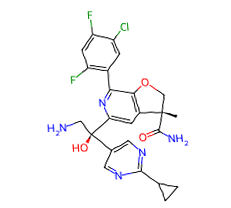 C[C@]1(C(N)=O)COc2c1cc([C@@](O)(CN)c1cnc(C3CC3)nc1)nc2-c1cc(Cl)c(F)cc1F